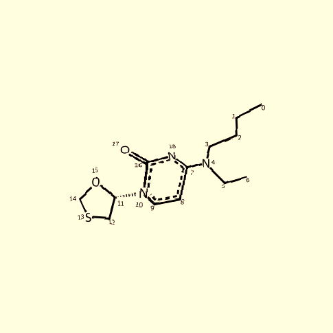 CCCCN(CC)c1ccn([C@@H]2CSCO2)c(=O)n1